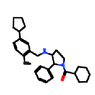 COc1ccc(C2CCCC2)cc1CNC1CCN(C(=O)C2CCCCC2)C1c1ccccc1